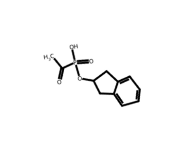 CC(=O)P(=O)(O)OC1Cc2ccccc2C1